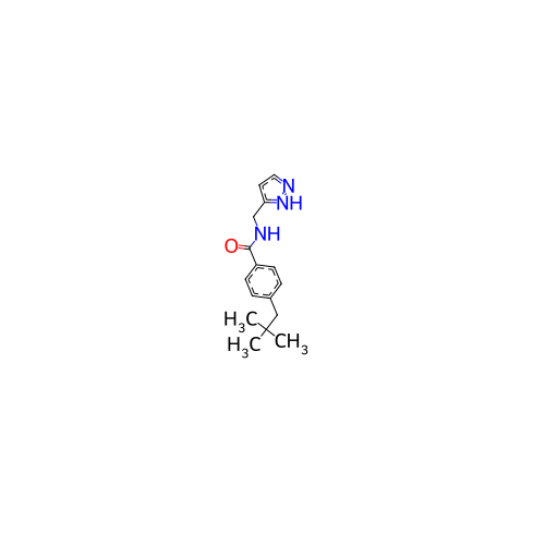 CC(C)(C)Cc1ccc(C(=O)NCc2ccn[nH]2)cc1